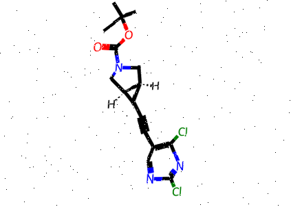 CC(C)(C)OC(=O)N1C[C@@H]2C(C#Cc3cnc(Cl)nc3Cl)[C@@H]2C1